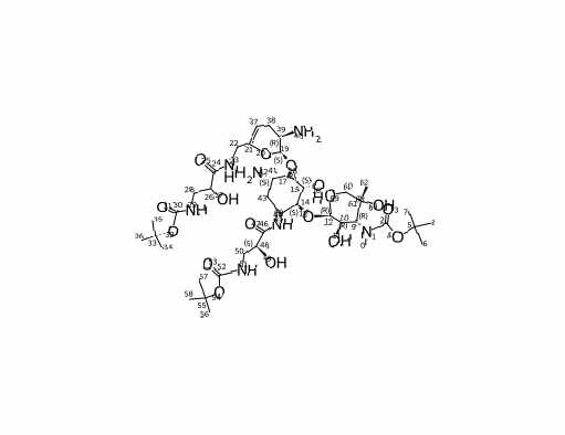 CN(C(=O)OC(C)(C)C)[C@@H]1[C@@H](O)[C@@H](O[C@@H]2[C@@H](O)[C@H](O[C@H]3OC(CNC(=O)C(O)CNC(=O)OC(C)(C)C)=CC[C@H]3N)[C@@H](N)C[C@H]2NC(=O)[C@@H](O)CNC(=O)OC(C)(C)C)OC[C@]1(C)O